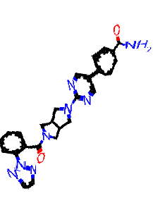 NC(=O)c1ccc(-c2cnc(N3CC4CN(C(=O)c5ccccc5-n5nccn5)CC4C3)nc2)cc1